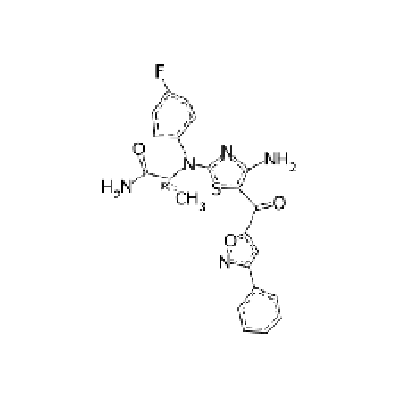 C[C@H](C(N)=O)N(c1ccc(F)cc1)c1nc(N)c(C(=O)c2cc(-c3ccccc3)no2)s1